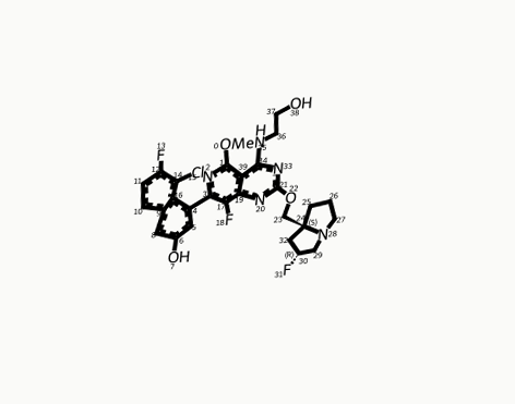 COc1nc(-c2cc(O)cc3ccc(F)c(Cl)c23)c(F)c2nc(OC[C@@]34CCCN3C[C@H](F)C4)nc(NCCO)c12